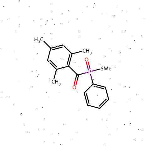 CSP(=O)(C(=O)c1c(C)cc(C)cc1C)c1ccccc1